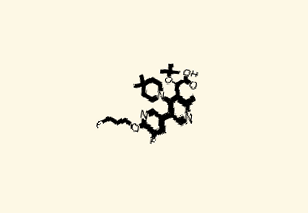 Cc1ncc(-c2cnc(OCCCF)c(F)c2)c(N2CCC(C)(C)CC2)c1[C@H](OC(C)(C)C)C(=O)O